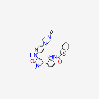 Cc1c(NC(=O)c2cc3c(s2)CCCC3)cccc1-c1cc(Nc2ccc(N3CCN(C4CC4)CC3)cn2)c(=O)n(C)c1